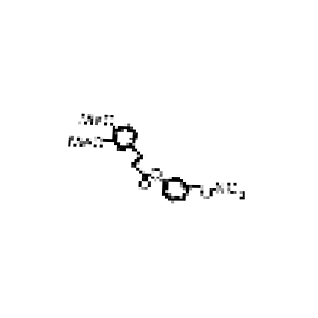 COc1ccc(C=CC(=O)Oc2cccc(CO[N+](=O)[O-])c2)cc1OC